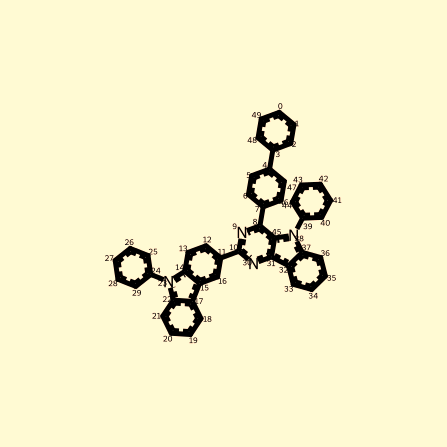 c1ccc(-c2ccc(-c3nc(-c4ccc5c(c4)c4ccccc4n5-c4ccccc4)nc4c5ccccc5n(-c5ccccc5)c34)cc2)cc1